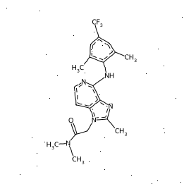 Cc1cc(C(F)(F)F)cc(C)c1Nc1nccc2c1nc(C)n2CC(=O)N(C)C